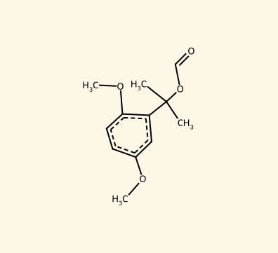 COc1ccc(OC)c(C(C)(C)OC=O)c1